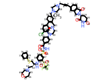 C[C@@]1(CN2CCN(CC#Cc3ccc4c(c3)CN(C3CCC(=O)NC3=O)C4=O)CC2)CCC(c2ccc(Cl)cc2)=C(CN2CCN(c3ccc(C(=O)NS(=O)(=O)c4ccc(N[C@H](CCN5CCCOCC5)CSc5ccccc5)c(S(=O)(=O)C(F)(F)F)c4)cc3)CC2)C1